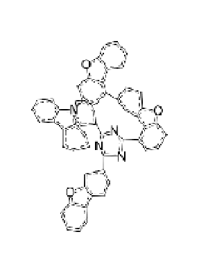 c1ccc(-c2nc(-c3ccc4c(c3)oc3ccccc34)nc(-c3cccc4oc5ccc(-c6cc(-n7c8ccccc8c8ccccc87)cc7oc8ccccc8c67)cc5c34)n2)cc1